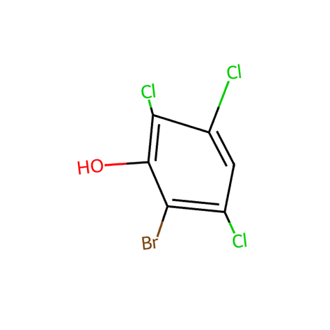 Oc1c(Cl)c(Cl)cc(Cl)c1Br